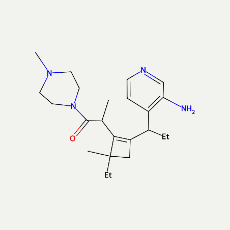 CCC(C1=C(C(C)C(=O)N2CCN(C)CC2)C(C)(CC)C1)c1ccncc1N